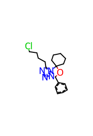 ClCCCCc1nnnn1C1(OCc2ccccc2)CCCCC1